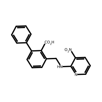 O=C(O)c1c(CNc2ncccc2[N+](=O)[O-])cccc1-c1ccccc1